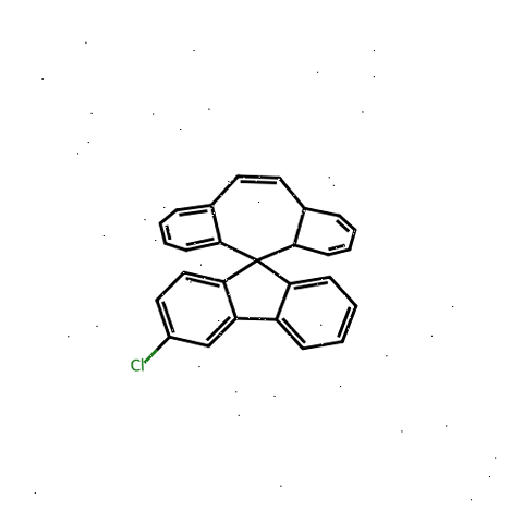 Clc1ccc2c(c1)-c1ccccc1C21c2ccccc2C=CC2C=CC=CC21